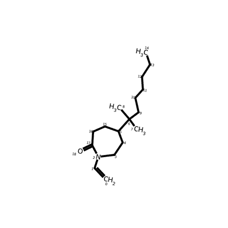 C=CN1CCC(C(C)(C)CCCCCC)CCC1=O